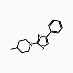 CC1CCN(c2nc(-c3ccccc3)cs2)CC1